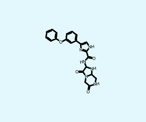 O=C1CN2C(=O)C(NC(=O)c3nc(-c4cccc(Oc5ccccc5)c4)c[nH]3)NC2CN1